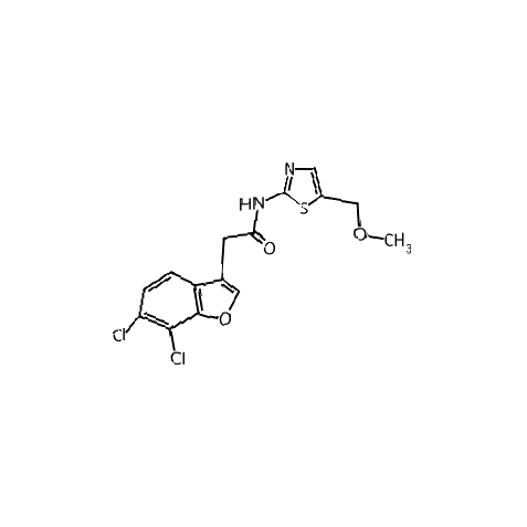 COCc1cnc(NC(=O)Cc2coc3c(Cl)c(Cl)ccc23)s1